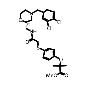 COC(=O)C(C)(C)Oc1ccc(SCC(=O)NC[C@H]2CN(CC3C=C(Cl)C(Cl)=CC3)CCO2)cc1